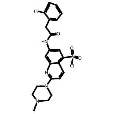 CN1CCN(c2ccc3c(S(=O)(=O)Cl)cc(NC(=O)Cc4ccccc4Cl)cc3n2)CC1